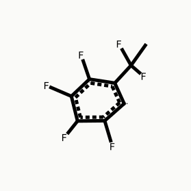 CC(F)(F)c1[c]c(F)c(F)c(F)c1F